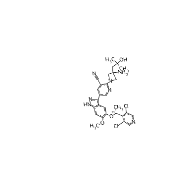 COc1cc2[nH]nc(-c3cnc(N4CC(N)(CC(C)(C)O)C4)c(C#N)c3)c2cc1O[C@H](C)c1c(Cl)cncc1Cl